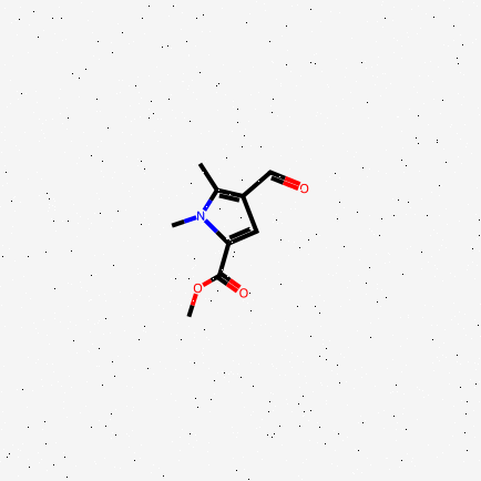 COC(=O)c1cc(C=O)c(C)n1C